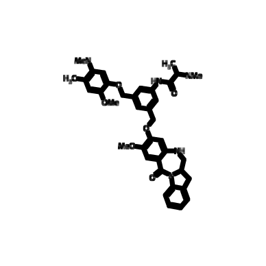 CNc1cc(OCc2cc(COc3cc4c(cc3OC)C(=O)N3c5ccccc5CC3CN4)cc(NC(=O)C(C)NC)c2)c(OC)cc1C